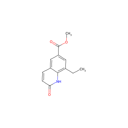 CCc1cc(C(=O)OC)cc2ccc(=O)[nH]c12